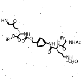 CC(=O)N[C@H](C(=O)N[C@@H](CCCNC=O)C(=O)Nc1ccc(COC(=O)N[C@@H](CCC(=O)C=N)C(=O)OC(C)C)cc1)C(C)C